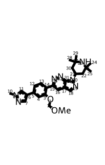 COCOc1cc(-c2cnn(C)c2)ccc1-c1cc2cnn(C3CC(C)(C)NC(C)(C)C3)c2nn1